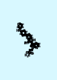 CC(C)c1c(-c2cn(CCS(C)(=O)=O)c3ncccc23)[nH]c2ccc(C3CCC(NC4CCCOC4)CC3)nc12